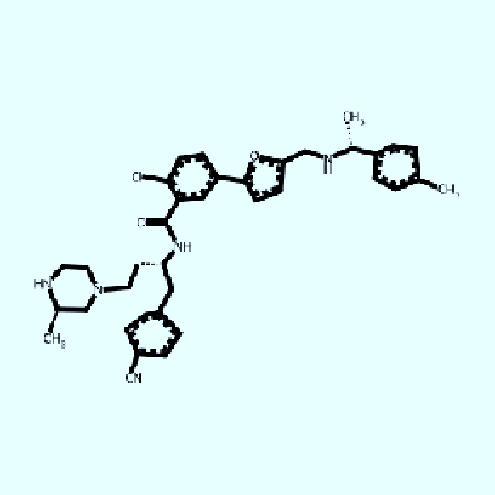 Cc1ccc([C@@H](C)NCc2ccc(-c3ccc(Cl)c(C(=O)N[C@@H](CCN4CCN[C@H](C)C4)Cc4ccc(C#N)cc4)c3)o2)cc1